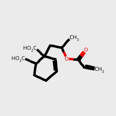 C=CC(=O)OC(C)CC1(C(=O)O)C=CCCC1C(=O)O